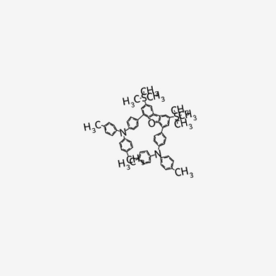 Cc1ccc(N(c2ccc(C)cc2)c2ccc(-c3cc([Si](C)(C)C)cc4c3oc3c(-c5ccc(N(c6ccc(C)cc6)c6ccc(C)cc6)cc5)cc(S(C)(C)C)cc34)cc2)cc1